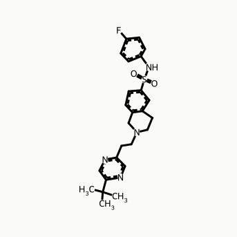 CC(C)(C)c1cnc(CCN2CCc3cc(S(=O)(=O)Nc4ccc(F)cc4)ccc3C2)cn1